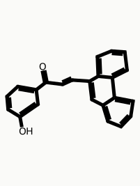 O=C(/C=C/c1cc2ccccc2c2ccccc12)c1cccc(O)c1